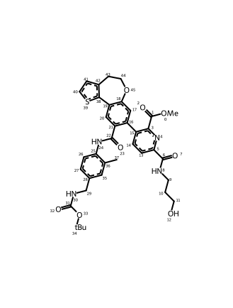 COC(=O)c1nc(C(=O)NCCCO)ccc1-c1cc2c(cc1C(=O)Nc1ccc(CNC(=O)OC(C)(C)C)cc1C)-c1sccc1CCO2